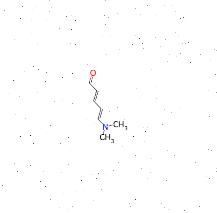 CN(C)C=CC=CC=O